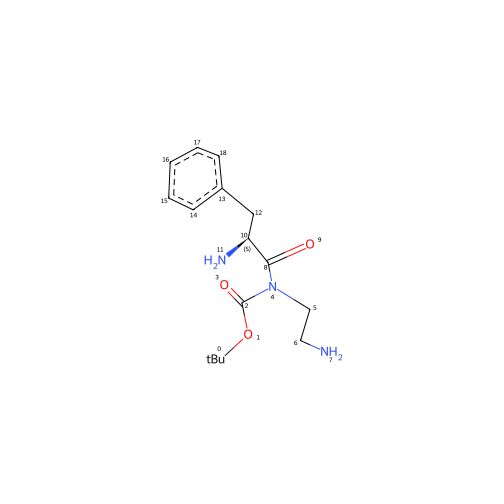 CC(C)(C)OC(=O)N(CCN)C(=O)[C@@H](N)Cc1ccccc1